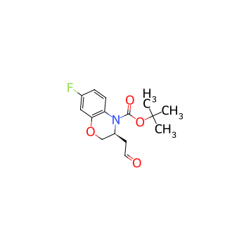 CC(C)(C)OC(=O)N1c2ccc(F)cc2OC[C@@H]1CC=O